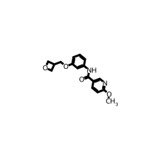 COc1ccc(C(=O)Nc2cccc(OCC3COC3)c2)cn1